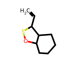 C=CC1SOC2CCCCC21